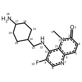 Cn1c(=O)ccc2ncc(F)c(NCC3CCC(N)CC3)c21